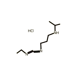 CCN=C=NCCCNC(C)C.Cl